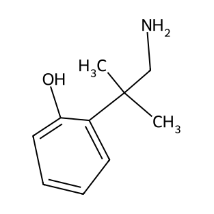 CC(C)(CN)c1ccccc1O